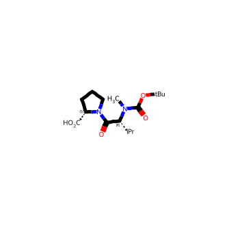 CC(C)[C@H](C(=O)N1CCC[C@H]1C(=O)O)N(C)C(=O)OC(C)(C)C